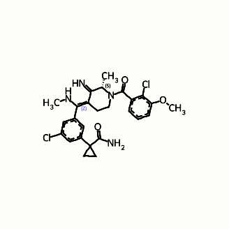 CN/C(=C1/CCN(C(=O)c2cccc(OC)c2Cl)[C@@H](C)C1=N)c1cc(Cl)cc(C2(C(N)=O)CC2)c1